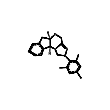 Cc1cc(C)c(N2CN3C(=N2)CO[C@@H]2Cc4ccccc4[C@@H]23)c(C)c1